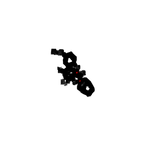 COc1ccc(OCCCN2C3CCC2CC(O[Si](C)(C)C)(C(=O)c2ccc(F)cc2)C3)cc1